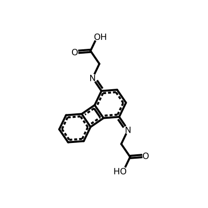 O=C(O)CN=c1ccc(=NCC(=O)O)c2c3ccccc3c1=2